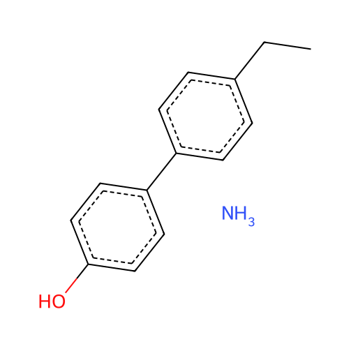 CCc1ccc(-c2ccc(O)cc2)cc1.N